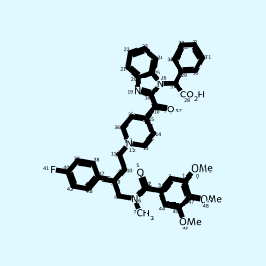 COc1cc(C(=O)N(C)CC(CCN2CCC(C(=O)c3nc4ccccc4n3C(C(=O)O)c3ccccc3)CC2)c2ccc(F)cc2)cc(OC)c1OC